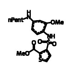 CCCCCNc1ccc(NS(=O)(=O)c2ccsc2C(=O)OC)c(OC)c1